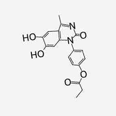 CCC(=O)Oc1ccc(-n2c(=O)nc(C)c3cc(O)c(O)cc32)cc1